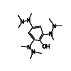 CN(C)N(C)c1cc(N(C)N(C)C)c(O)c(N(C)N(C)C)c1